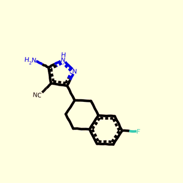 N#Cc1c(C2CCc3ccc(F)cc3C2)n[nH]c1N